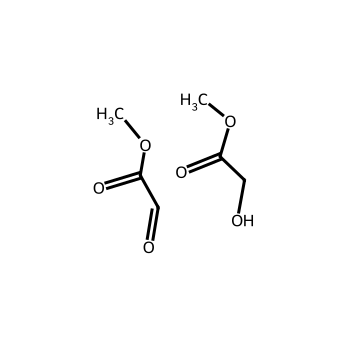 COC(=O)C=O.COC(=O)CO